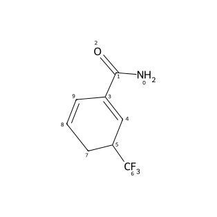 NC(=O)C1=CC(C(F)(F)F)CC=C1